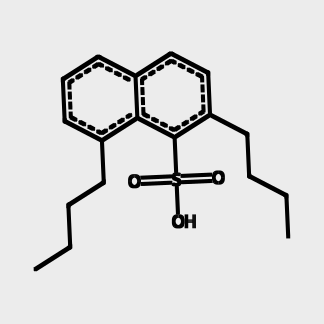 CCCCc1ccc2cccc(CCCC)c2c1S(=O)(=O)O